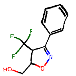 OCC1ON=C(c2ccccc2)C1C(F)(F)F